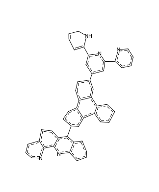 C1=CCNC(c2cc(-c3ccc4c5ccc(-c6c7ccccc7nc7c6ccc6cccnc67)cc5c5ccccc5c4c3)cc(-c3ccccn3)n2)=C1